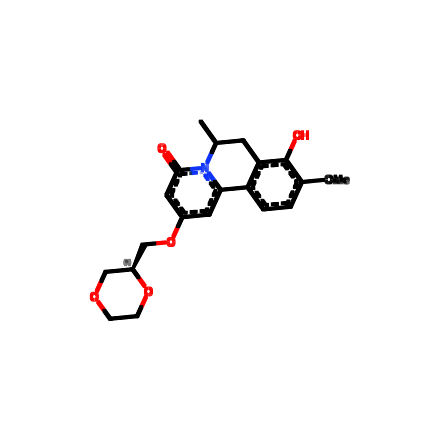 COc1ccc2c(c1O)CC(C)n1c-2cc(OC[C@@H]2COCCO2)cc1=O